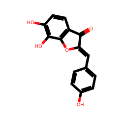 O=C1/C(=C/c2ccc(O)cc2)Oc2c1ccc(O)c2O